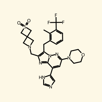 Cc1c(Cc2c(CN3CC4(C3)CS(=O)(=O)C4)nc3c(-c4cnc[nH]4)cc(N4CCOCC4)nn23)cccc1C(F)(F)F